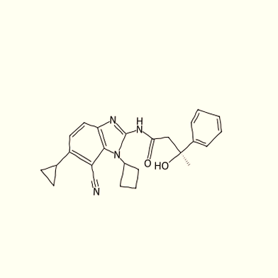 C[C@](O)(CC(=O)Nc1nc2ccc(C3CC3)c(C#N)c2n1C1CCC1)c1ccccc1